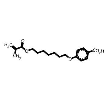 C=C(C)C(=O)OCCCCCCCOc1ccc(C(=O)O)cc1